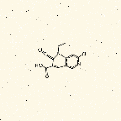 CCN1C(=C=O)C(C(=O)O)=Cc2cnc(Cl)cc21